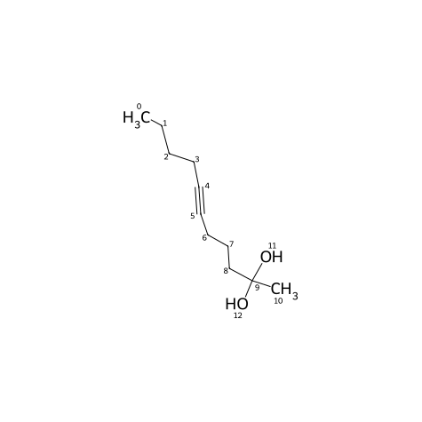 CCCCC#CCCCC(C)(O)O